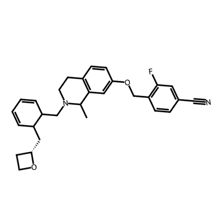 CC1c2cc(OCc3ccc(C#N)cc3F)ccc2CCN1CC1C=CC=CC1C[C@H]1CCO1